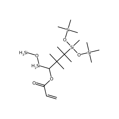 C=CC(=O)OC([SiH2]O[SiH3])C(C)(C)C(C)(C)[Si](C)(O[Si](C)(C)C)O[Si](C)(C)C